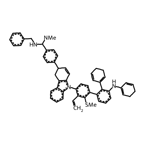 C=Cc1c(-n2c3c(c4ccccc42)CC(c2ccc(C(NC)NCc4ccccc4)cc2)C=C3)ccc(-c2cccc(NC3=CCCC=C3)c2C2=CCCC=C2)c1SC